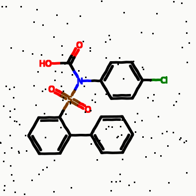 O=C(O)N(c1ccc(Cl)cc1)S(=O)(=O)c1ccccc1-c1ccccc1